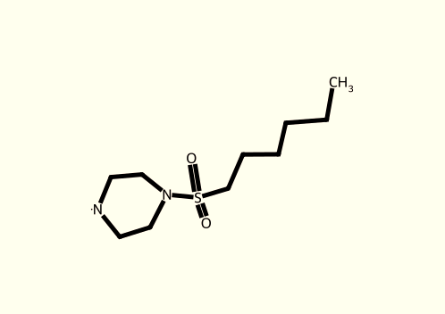 CCCCCCS(=O)(=O)N1CC[N]CC1